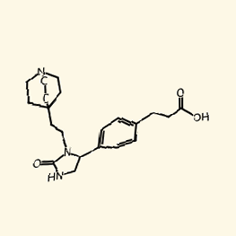 O=C(O)CCc1ccc(C2CNC(=O)N2CCC23CCN(CC2)CC3)cc1